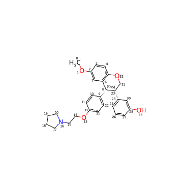 COc1ccc2c(c1)[C@@H](c1ccc(OCCN3CCCC3)cc1)[C@@H](c1cccc(O)c1)CO2